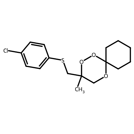 CC1(CSc2ccc(Cl)cc2)COC2(CCCCC2)OO1